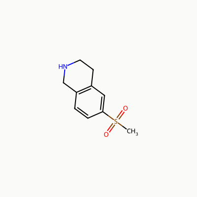 CS(=O)(=O)c1ccc2c(c1)CCNC2